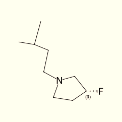 CC(C)CCN1CC[C@@H](F)C1